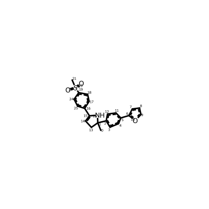 CC1(c2ccc(-c3ccco3)cc2)CC=C(c2ccc(S(C)(=O)=O)cc2)N1